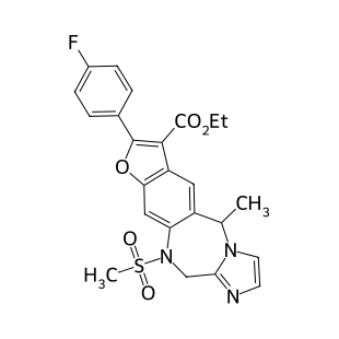 CCOC(=O)c1c(-c2ccc(F)cc2)oc2cc3c(cc12)C(C)n1ccnc1CN3S(C)(=O)=O